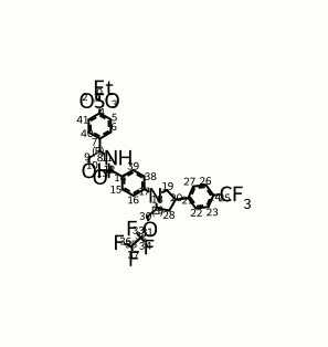 CCS(=O)(=O)c1ccc([C@H](CO)NC(=O)c2ccc(N3CC(c4ccc(C(F)(F)F)cc4)C[C@H]3COC(F)(F)C(F)F)cc2)cc1